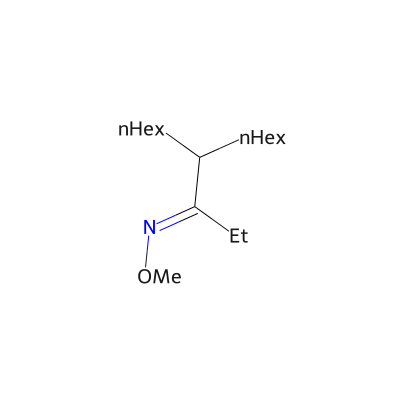 CCCCCCC(CCCCCC)/C(CC)=N/OC